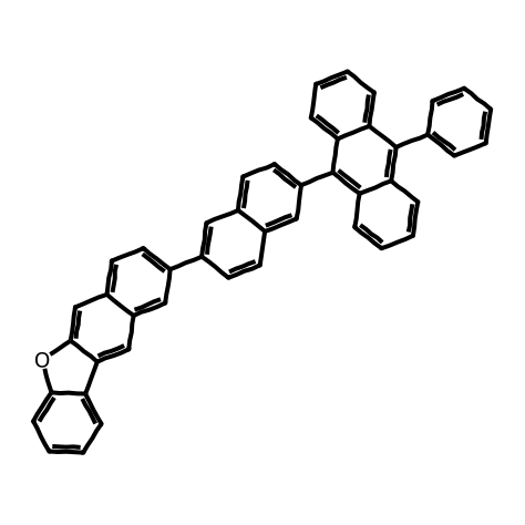 c1ccc(-c2c3ccccc3c(-c3ccc4cc(-c5ccc6cc7oc8ccccc8c7cc6c5)ccc4c3)c3ccccc23)cc1